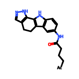 CC(=O)CCCC(=O)Nc1ccc2[nH]c3c(c2c1)CCc1cn[nH]c1-3